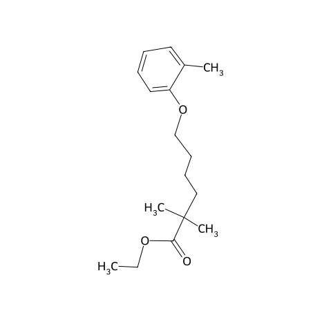 CCOC(=O)C(C)(C)CCCCOc1ccccc1C